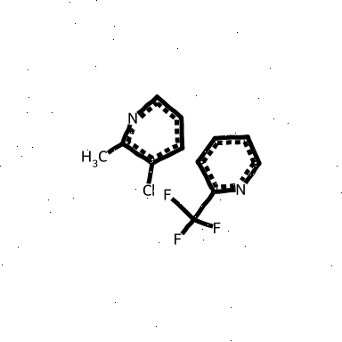 Cc1ncccc1Cl.FC(F)(F)c1ccccn1